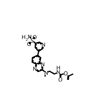 C=C(C)OC(=O)NCCN(C)c1cnc2ccc(-c3cncc(S(N)(=O)=O)c3)cc2n1